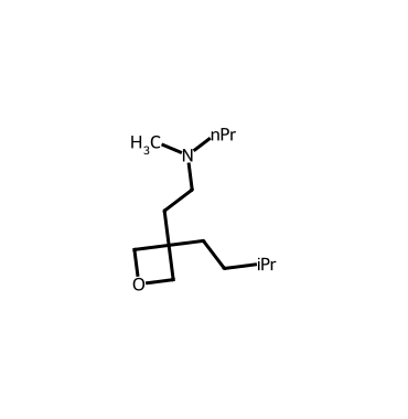 CCCN(C)CCC1(CCC(C)C)COC1